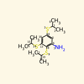 CC(C)Sc1cc(N)c(SC(C)C)c(SC(C)C)c1